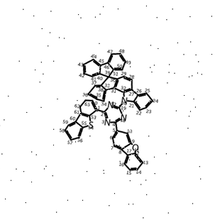 C1=C(c2nc(-c3ccc4c(c3)oc3ccccc34)nc(-n3c4ccccc4c4ccc5c(c43)-c3ccccc3C53c4ccccc4-c4ccccc43)n2)c2sc3ccccc3c2CC1